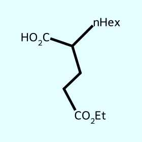 CCCCCCC(CCC(=O)OCC)C(=O)O